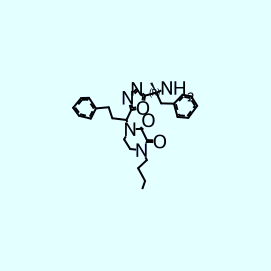 CCCCN1CCN(C(CCc2ccccc2)c2nnc([C@](C)(N)Cc3ccccc3)o2)C(=O)C1=O